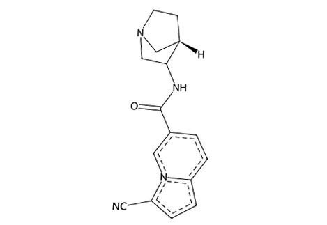 N#Cc1ccc2ccc(C(=O)NC3CN4CC[C@H]3C4)cn12